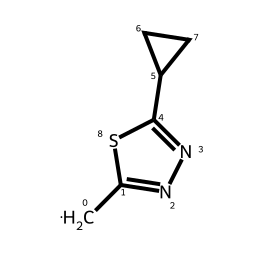 [CH2]c1nnc(C2CC2)s1